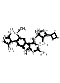 COc1cc2c(cc1-c1c(C)noc1C)[nH]c1nc(C)nc(Nc3[nH]nc(C4CCC4)c3C)c12